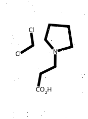 ClCCl.O=C(O)CCN1CCCC1